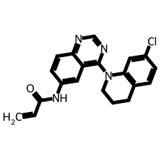 C=CC(=O)Nc1ccc2ncnc(N3CCCc4ccc(Cl)cc43)c2c1